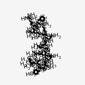 CC[C@H](C)[C@H](N)C(=O)N[C@H](C(=O)N[C@@H](Cc1ccc(O)cc1)C(=O)N[C@H](C(=O)N[C@@H](CC(N)=O)C(=O)N[C@@H](CCCNC(=N)N)C(=O)N[C@@H](CCN)C(=O)N[C@H](C(=O)N[C@H](CCN)C(=O)N[C@@H](CCCCN)C(=O)N[C@@H](CS)C(=O)N[C@@H](CCN)C(=O)N[C@@H](CCCNC(=N)N)C(=O)N[C@@H](CC1CCCCC1)C(=O)O)[C@@H](C)O)C(C)(C)S)[C@@H](C)CC